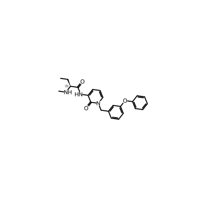 CC[C@H](NC)C(=O)Nc1cccn(Cc2cccc(Oc3ccccc3)c2)c1=O